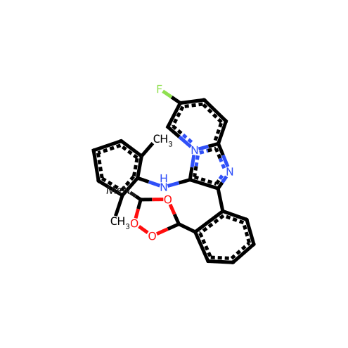 CNC1OOC(c2ccccc2-c2nc3ccc(F)cn3c2Nc2c(C)cccc2C)O1